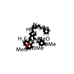 COc1ccc(CNC2c3cnc(Nc4cnn(CCOC5CCCCO5)c4)cc3C=C(c3cnccc3C)N2Cc2ccc(OC)cc2OC)c(OC)c1